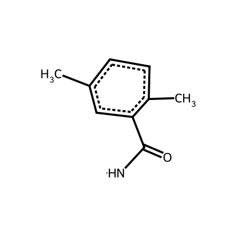 Cc1ccc(C)c(C([NH])=O)c1